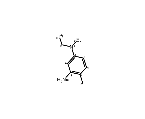 CCN(CC(C)C)c1ccc(C)c(N)c1